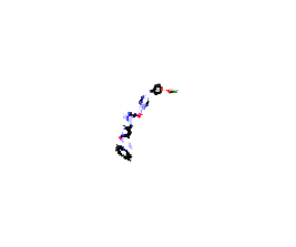 Cc1nnn(Cc2ccc(C(=O)Nc3ccc(F)cc3)nc2)c1C(=O)N1CCN(Cc2ccc(OCC(F)(F)F)cc2)CC1